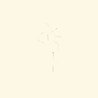 C#C[C@@](C)(c1ccc(C)cc1)c1csc(NC(=O)N2CC(CO)C2)n1